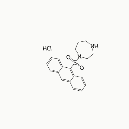 Cl.O=S(=O)(c1c2ccccc2cc2ccccc12)N1CCCNCC1